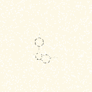 CC(C)Oc1ccc(-n2ncc3ccc(Br)cc32)cc1